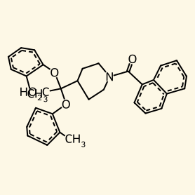 Cc1ccccc1OC(Oc1ccccc1C)(C(=O)O)C1CCN(C(=O)c2cccc3ccccc23)CC1